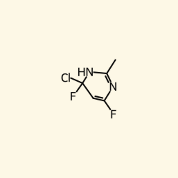 CC1=NC(F)=CC(F)(Cl)N1